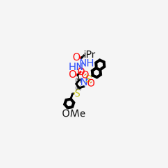 COc1ccc(CS[C@@H]2C[C@@H](C(=O)ONNC(=O)C(C)C)N(S(=O)(=O)c3ccc4ccccc4c3)C2)cc1